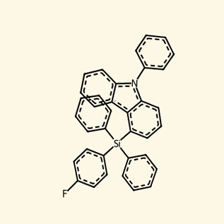 Fc1ccc([Si](c2ccccc2)(c2ccccc2)c2cccc3c2c2ccccc2n3-c2ccccc2)cc1